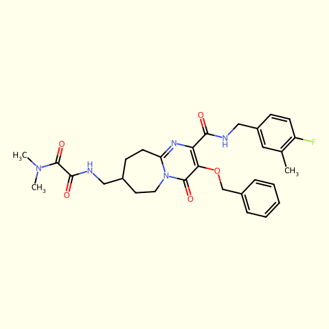 Cc1cc(CNC(=O)c2nc3n(c(=O)c2OCc2ccccc2)CCC(CNC(=O)C(=O)N(C)C)CC3)ccc1F